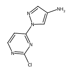 Nc1cnn(-c2ccnc(Cl)n2)c1